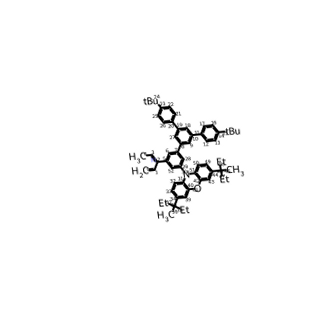 C=C/C(=C\C)c1cc(-c2cc(-c3ccc(C(C)(C)C)cc3)cc(-c3ccc(C(C)(C)C)cc3)c2)cc(N2c3ccc(C(C)(CC)CC)cc3Oc3cc(C(C)(CC)CC)ccc32)c1